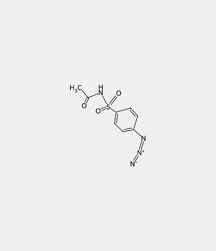 CC(=O)NS(=O)(=O)c1ccc(N=[N+]=[N-])cc1